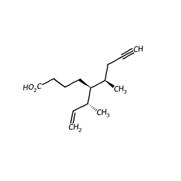 C#CC[C@@H](C)[C@H](CCCC(=O)O)[C@H](C)C=C